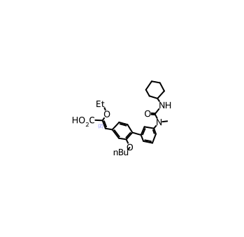 CCCCOc1cc(/C=C(\OCC)C(=O)O)ccc1-c1cccc(N(C)C(=O)NC2CCCCC2)c1